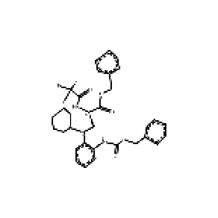 O=C(Nc1ccccc1N(C[C@@H](NC(=O)C(F)(F)F)C(=O)OCc1ccccc1)C1CCCCC1)OCc1ccccc1